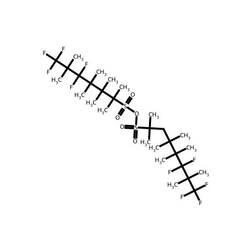 CC(C)(CC(C)(C)S(=O)(=O)OS(=O)(=O)C(C)(C)C(C)(C)C(C)(C)C(F)(F)C(C)(C)C(F)(F)F)C(C)(C)C(F)(F)C(C)(C)C(F)(F)F